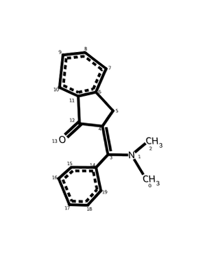 CN(C)C(=C1Cc2ccccc2C1=O)c1ccccc1